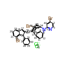 Brc1ccnc(N2c3ccc(cc3)C3[C]([Zr+2][C]4=Cc5cccc(Br)c5C4c4ccccc4)=Cc4c2ccc(Br)c43)c1.[Cl-].[Cl-]